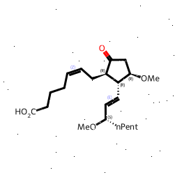 CCCCC[C@@H](/C=C/[C@H]1[C@H](OC)CC(=O)[C@@H]1C/C=C\CCCC(=O)O)OC